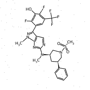 CN(c1ncc2c(-c3cc(C(F)(F)F)c(F)c(O)c3F)nn(C)c2n1)[C@@H]1C[C@H](c2ccccc2)CN(S(C)(=O)=O)C1